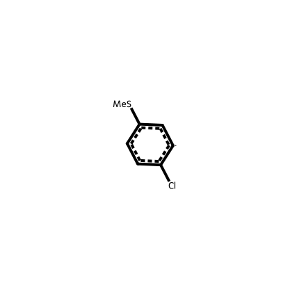 CSc1c[c]c(Cl)cc1